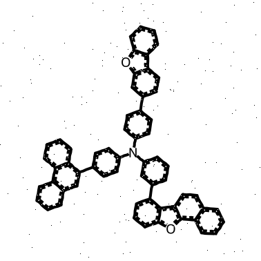 c1cc(-c2cccc3oc4c5ccccc5ccc4c23)cc(N(c2ccc(-c3ccc4c(c3)oc3ccccc34)cc2)c2ccc(-c3cc4ccccc4c4ccccc34)cc2)c1